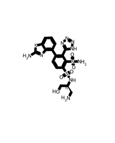 NC[C@@H](CO)NS(=O)(=O)c1ccc(-c2cccc3sc(N)nc23)c(-c2nnn[nH]2)c1S(N)(=O)=O